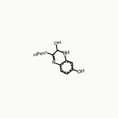 CCCCCC1=Nc2ccc(O)cc2NC1O